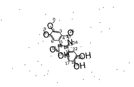 COc1cc2c(cc1OC)[C@@H](C(=O)O)[C@@H](c1ccc(O)c(O)c1)N(C)C2=O